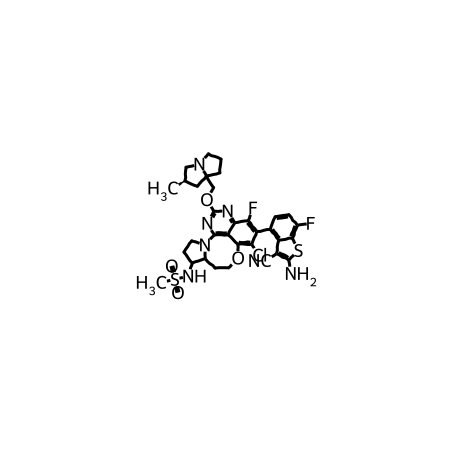 C[C@H]1CN2CCCC2(COc2nc3c4c(c(Cl)c(-c5ccc(F)c6sc(N)c(C#N)c56)c(F)c4n2)OCCC2C(NS(C)(=O)=O)CCN32)C1